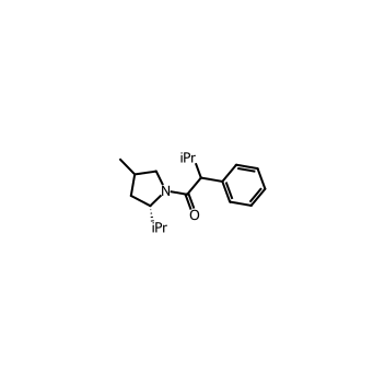 CC1C[C@@H](C(C)C)N(C(=O)C(c2ccccc2)C(C)C)C1